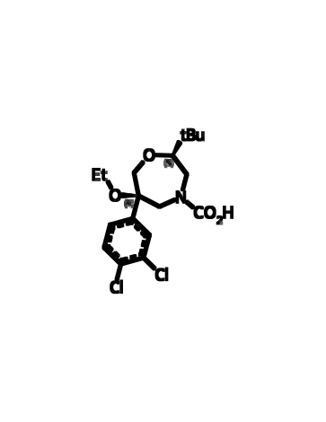 CCO[C@@]1(c2ccc(Cl)c(Cl)c2)CO[C@@H](C(C)(C)C)CN(C(=O)O)C1